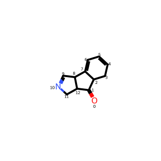 O=C1C2CC=CC=C2C2C=NCC12